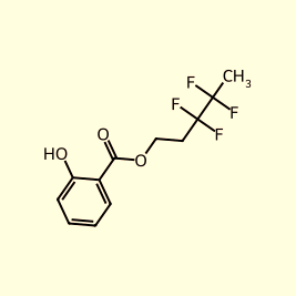 CC(F)(F)C(F)(F)CCOC(=O)c1ccccc1O